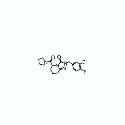 O=C(C1CCCc2nn(Cc3ccc(F)c(Cl)c3)c(=O)n21)N1CCCC1